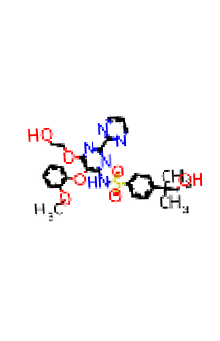 COc1ccccc1Oc1c(NS(=O)(=O)c2ccc(C(C)(C)CO)cc2)nc(-c2ncccn2)nc1OCCO